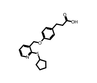 O=C(O)CCc1ccc(OCc2cccnc2SC2CCCC2)cc1